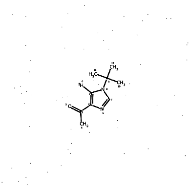 [3H]c1c(C(C)=O)ncn1C(C)(C)C